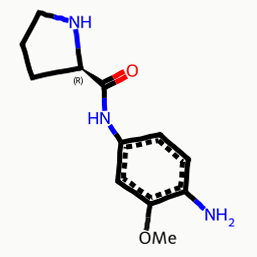 COc1cc(NC(=O)[C@H]2CCCN2)ccc1N